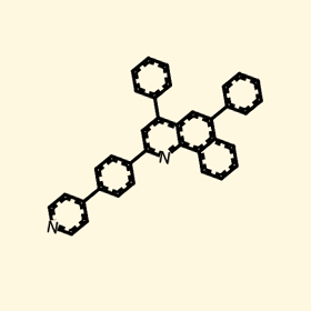 c1ccc(-c2cc3c(-c4ccccc4)cc(-c4ccc(-c5ccncc5)cc4)nc3c3ccccc23)cc1